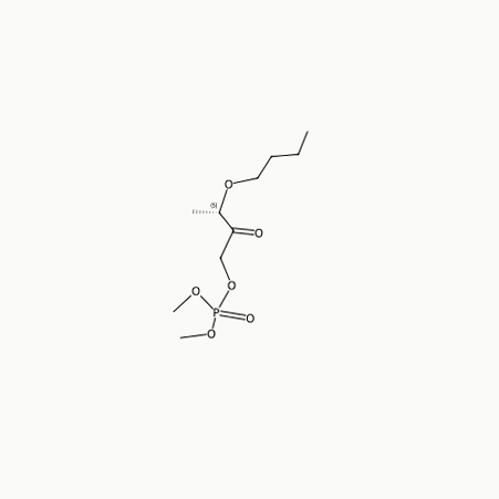 CCCCO[C@@H](C)C(=O)COP(=O)(OC)OC